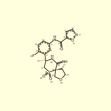 C[C@@]1(c2cc(NC(=O)c3ccno3)ccc2F)CS(=O)(=O)[C@]2(CCOC2)C(=N)N1